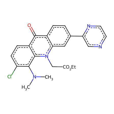 CCOC(=O)Cn1c2cc(-c3cnccn3)ccc2c(=O)c2ccc(Cl)c(N(C)C)c21